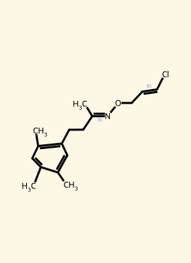 C/C(CCc1cc(C)c(C)cc1C)=N\OC/C=C/Cl